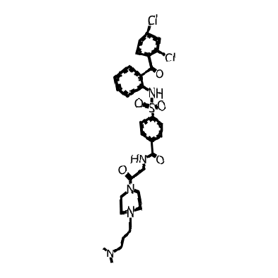 CN(C)CCCN1CCN(C(=O)CNC(=O)c2ccc(S(=O)(=O)Nc3ccccc3C(=O)c3ccc(Cl)cc3Cl)cc2)CC1